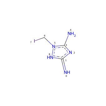 N=c1nc(N)n(CI)[nH]1